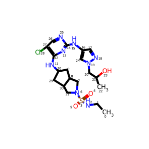 CCNS(=O)(=O)N1CC2CC(Nc3nc(Nc4cnn(CC(C)O)c4)ncc3Cl)CC2C1